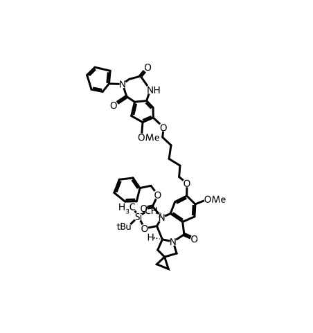 COc1cc2c(cc1OCCCCCOc1cc3c(cc1OC)C(=O)N1CC4(CC4)C[C@H]1C(O[Si](C)(C)C(C)(C)C)N3C(=O)OCc1ccccc1)NC(=O)CN(c1ccccc1)C2=O